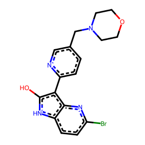 Oc1[nH]c2ccc(Br)nc2c1-c1ccc(CN2CCOCC2)cn1